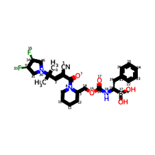 CC(C)(C=C(C#N)C(=O)N1CCCCC1COC(=O)N[C@@H](Cc1ccccc1)B(O)O)N1C[C@@H](F)[C@@H](F)C1